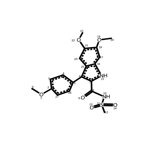 COc1ccc(-c2c(C(=O)NS(C)(=O)=O)[nH]c3cc(OC)c(OC)cc23)cc1